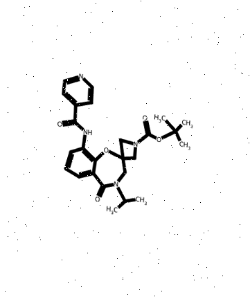 CC(C)N1CC2(CN(C(=O)OC(C)(C)C)C2)Oc2c(NC(=O)c3ccncc3)cccc2C1=O